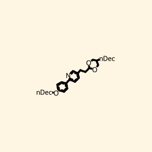 CCCCCCCCCCOc1ccc(-c2ccc(CCC3OCC(CCCCCCCCCC)CO3)cn2)cc1